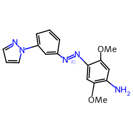 COc1cc(/N=N/c2cccc(-n3cccn3)c2)c(OC)cc1N